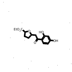 CCOC(=O)C1CCC(CC(=O)c2ccc(O)cc2O)O1